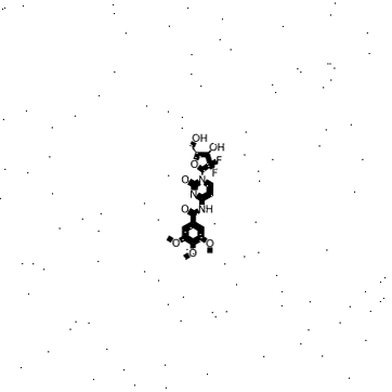 COc1cc(C(=O)Nc2ccn([C@@H]3O[C@H](CO)[C@H](O)C3(F)F)c(=O)n2)cc(OC)c1OC